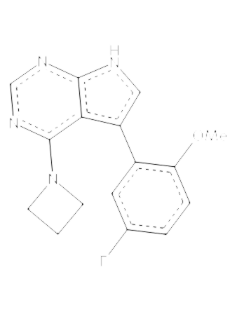 COc1ccc(F)cc1-c1c[nH]c2ncnc(N3CCC3)c12